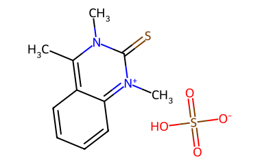 Cc1c2ccccc2[n+](C)c(=S)n1C.O=S(=O)([O-])O